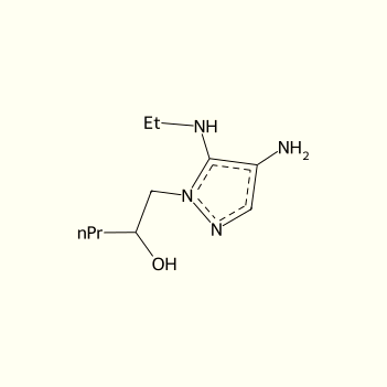 CCCC(O)Cn1ncc(N)c1NCC